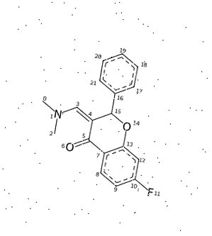 CN(C)C=C1C(=O)c2ccc(F)cc2OC1c1ccccc1